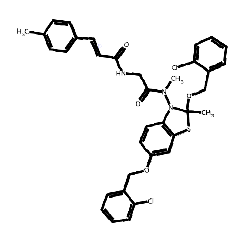 Cc1ccc(/C=C/C(=O)NCC(=O)N(C)N2c3ccc(OCc4ccccc4Cl)cc3SC2(C)OCc2ccccc2Cl)cc1